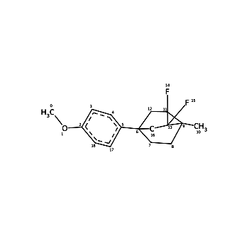 COc1ccc(C23CCC(C)(CC2)C(F)(F)C3)cc1